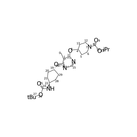 Cc1c(OC2CCN(C(=O)OC(C)C)CC2)ncnc1O[C@H]1CC[C@H](NC(=O)OC(C)(C)C)CC1